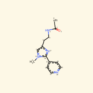 CCCC(=O)NCCc1cn(C)c(-c2ccncc2)n1